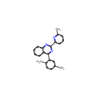 Cc1ccc(C)c(-c2nc(-c3cccc(C)n3)nc3ccccc23)c1